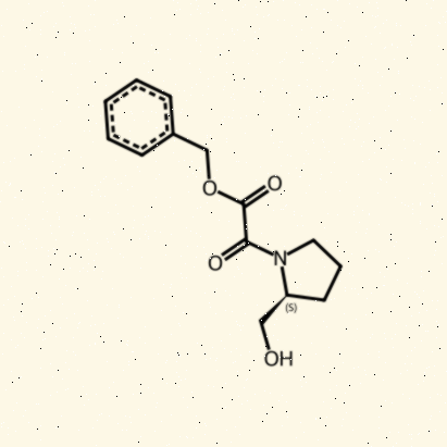 O=C(OCc1ccccc1)C(=O)N1CCC[C@H]1CO